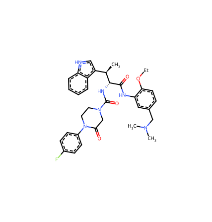 CCOc1ccc(CN(C)C)cc1NC(=O)[C@H](NC(=O)N1CCN(c2ccc(F)cc2)C(=O)C1)[C@H](C)c1c[nH]c2ccccc12